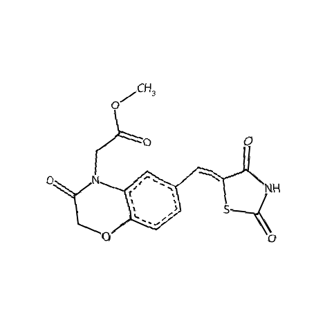 COC(=O)CN1C(=O)COc2ccc(/C=C3\SC(=O)NC3=O)cc21